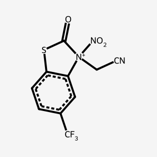 N#CC[N+]1([N+](=O)[O-])C(=O)Sc2ccc(C(F)(F)F)cc21